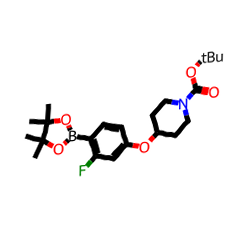 CC(C)(C)OC(=O)N1CCC(Oc2ccc(B3OC(C)(C)C(C)(C)O3)c(F)c2)CC1